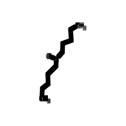 CCCCCN([P])CCCCC